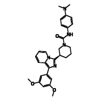 COc1cc(OC)cc(-c2nc([C@@H]3CCCN(C(=O)Nc4ccc(N(C)C)cc4)C3)n3ccccc23)c1